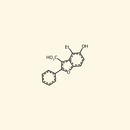 CCc1c(O)ccc2oc(-c3ccccc3)c(C(=O)O)c12